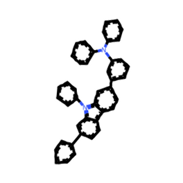 c1ccc(-c2ccc3c4ccc(-c5cccc(N(c6ccccc6)c6ccccc6)c5)cc4n(-c4ccccc4)c3c2)cc1